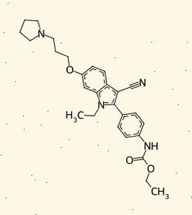 CCOC(=O)Nc1ccc(-c2c(C#N)c3ccc(OCCCN4CCCC4)cc3n2CC)cc1